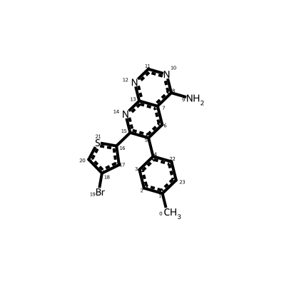 Cc1ccc(-c2cc3c(N)ncnc3nc2-c2cc(Br)cs2)cc1